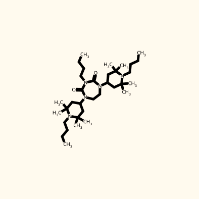 CCCCN1C(=O)N(C2CC(C)(C)N(CCCC)C(C)(C)C2)CCN(C2CC(C)(C)N(CCCC)C(C)(C)C2)C1=O